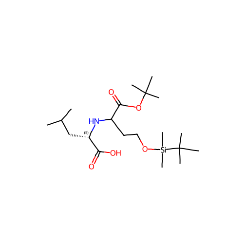 CC(C)C[C@H](NC(CCO[Si](C)(C)C(C)(C)C)C(=O)OC(C)(C)C)C(=O)O